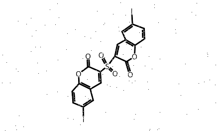 O=c1oc2ccc(I)cc2cc1S(=O)(=O)c1cc2cc(I)ccc2oc1=O